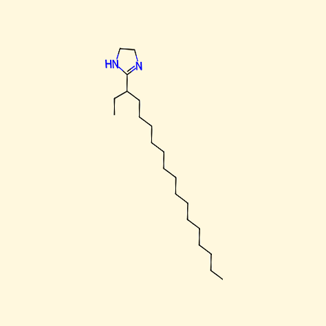 CCCCCCCCCCCCCCCC(CC)C1=NCCN1